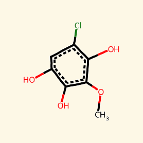 COc1c(O)c(O)cc(Cl)c1O